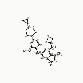 COc1cc(P2CCN(C3CC3)CC2)ccc1Nc1cc(NC2CCC2)c2c(C(F)(F)F)c[nH]c2n1